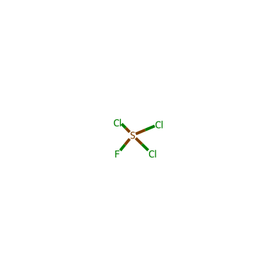 FS(Cl)(Cl)Cl